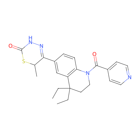 CCC1(CC)CCN(C(=O)c2ccncc2)c2ccc(C3=NNC(=O)SC3C)cc21